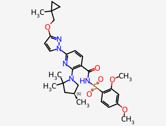 COc1ccc(S(=O)(=O)NC(=O)c2ccc(-n3ccc(OCC4(C)CC4)n3)nc2N2C[C@@H](C)CC2(C)C)c(OC)c1